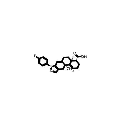 C[C@]12Cc3cnn(-c4ccc(F)cc4)c3C=C1CC[C@H]1C2=CCC[C@H]1C(=O)O